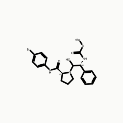 CC(C)(C)OC(=O)N[C@H](c1ccccc1)C(O)N1CCC[C@H]1C(=O)Nc1ccc(Br)cc1